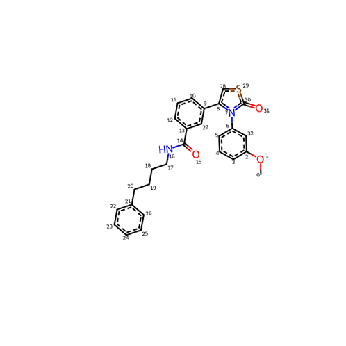 COc1cccc(-n2c(-c3cccc(C(=O)NCCCCc4ccccc4)c3)csc2=O)c1